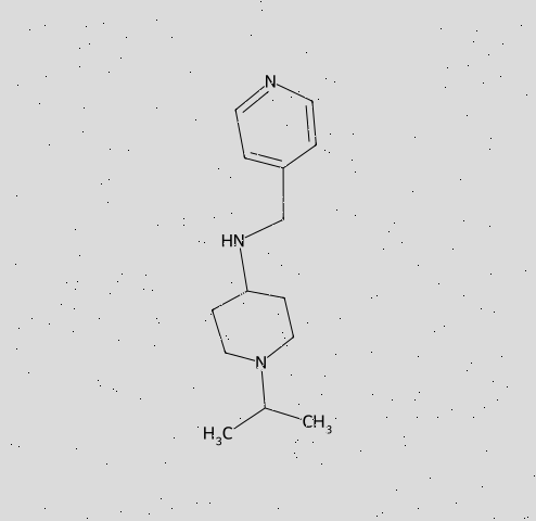 CC(C)N1CCC(NCc2ccncc2)CC1